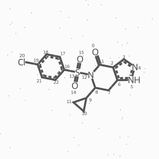 O=C1c2cn[nH]c2CC(C2CC2)N1S(=O)(=O)c1ccc(Cl)cc1